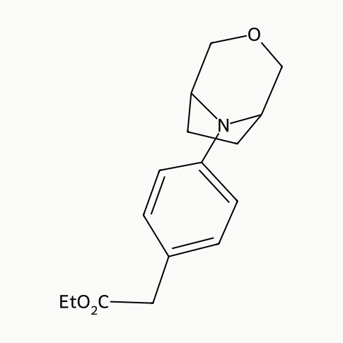 CCOC(=O)Cc1ccc(N2C3CCC2COC3)cc1